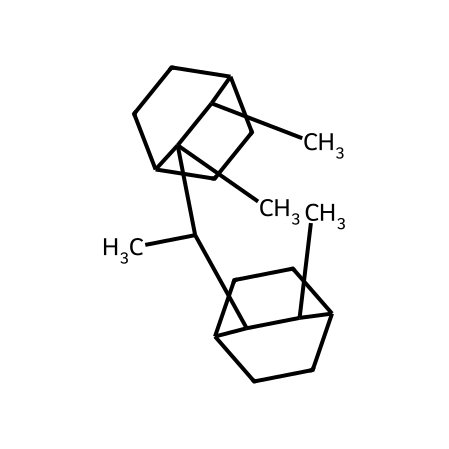 CC1C2CCC(CC2)C1C(C)C1(C)C2CCC(CC2)C1C